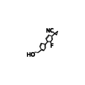 N#CC1(c2ccc(-c3ccc(CCO)cc3)c(F)c2)CC1